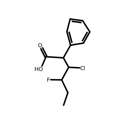 CCC(F)C(Cl)C(C(=O)O)c1ccccc1